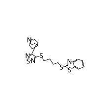 c1ccc2sc(SCCCCSc3nsnc3C3CN4CCC3CC4)nc2c1